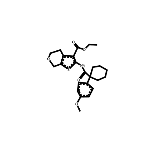 CCOC(=O)c1c(NC(=O)C2(c3ccc(OC)cc3)CCCCC2)sc2c1CCOC2